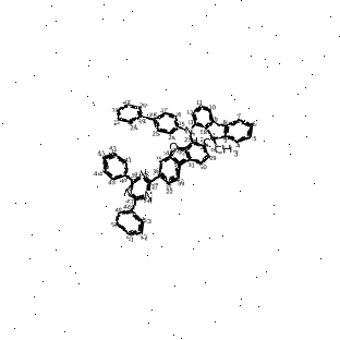 CC1(C)c2ccccc2-c2cccc(N(c3ccc(-c4ccccc4)cc3)c3cccc4c3oc3cc(-c5nc(-c6ccccc6)nc(-c6ccccc6)n5)ccc34)c21